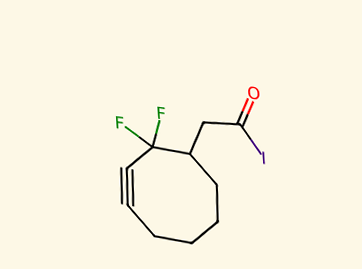 O=C(I)CC1CCCCC#CC1(F)F